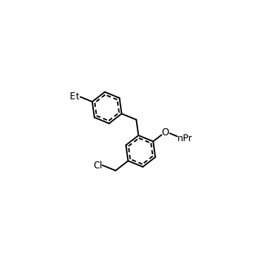 CCCOc1ccc(CCl)cc1Cc1ccc(CC)cc1